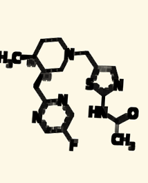 CC(=O)Nc1ncc(CN2CC[C@H](C)[C@H](Cc3ncc(F)cn3)C2)s1